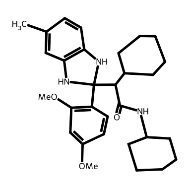 COc1ccc(C2(C(C(=O)NC3CCCCC3)C3CCCCC3)Nc3ccc(C)cc3N2)c(OC)c1